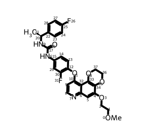 COCCOc1cc2nccc(Oc3ccc(NC(=O)N[C@@H](C)c4ccc(F)cc4)cc3F)c2c2c1OCCO2